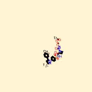 CCC(=O)OCO/N=[N+](\[O-])N1CC[C@H]1C(=O)NS(=O)(=O)c1ccc(-n2nc(C(F)(F)F)cc2-c2ccc(C)cc2)cc1